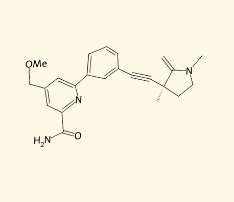 C=C1N(C)CC[C@@]1(C)C#Cc1cccc(-c2cc(COC)cc(C(N)=O)n2)c1